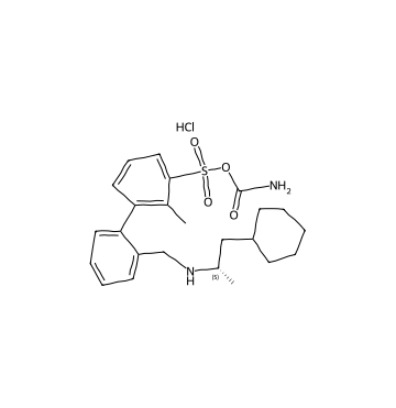 Cc1c(-c2ccccc2CN[C@@H](C)CC2CCCCC2)cccc1S(=O)(=O)OC(N)=O.Cl